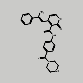 C=C(Nc1ccc(C(=O)N2CCNCC2)cc1)c1c(/C=C(\N)c2ccccc2)cc[nH]c1=O